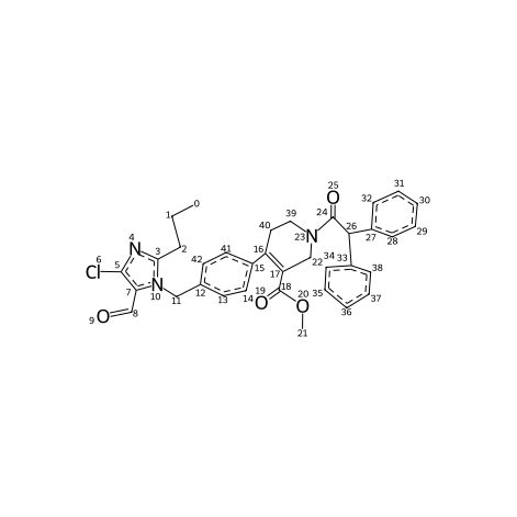 CCCc1nc(Cl)c(C=O)n1Cc1ccc(C2=C(C(=O)OC)CN(C(=O)C(c3ccccc3)c3ccccc3)CC2)cc1